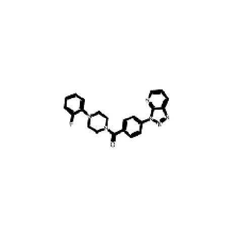 O=C(c1ccc(-n2nnc3cccnc32)cc1)N1CCN(c2ccccc2F)CC1